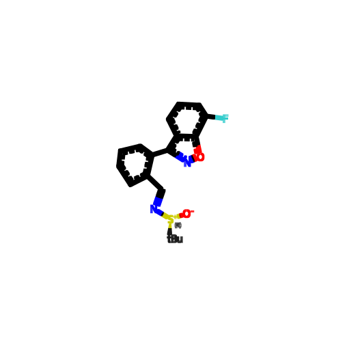 CC(C)(C)[S@+]([O-])N=Cc1ccccc1-c1noc2c(F)cccc12